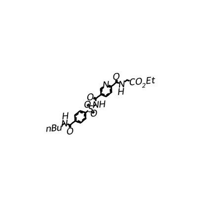 CCCCNC(=O)c1ccc(S(=O)(=O)NC(=O)c2ccc(C(=O)NCC(=O)OCC)nc2)cc1